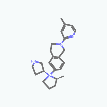 Cc1ccnc(N2CCc3cc([N+]4([C@H]5CCNC5)CCC[C@@H]4C)ccc3C2)c1